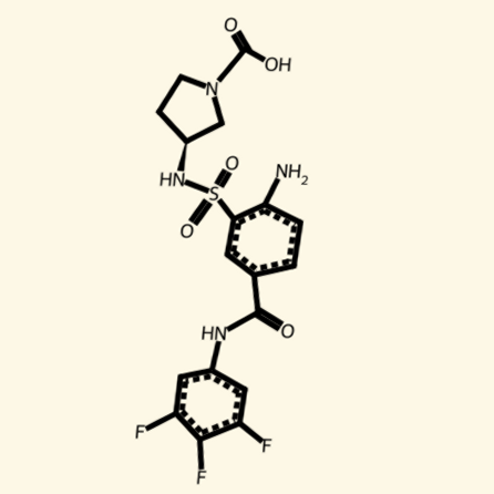 Nc1ccc(C(=O)Nc2cc(F)c(F)c(F)c2)cc1S(=O)(=O)N[C@H]1CCN(C(=O)O)C1